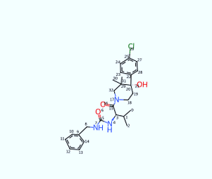 CC(C)[C@@H](NC(=O)NCc1ccccc1)C(=O)N1CC[C@](O)(c2ccc(Cl)cc2)C(C)(C)C1